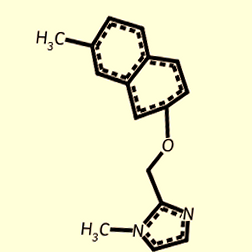 Cc1ccc2ccc(OCc3nccn3C)cc2c1